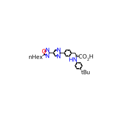 CCCCCCc1nc(-c2cnc(-c3ccc(C[C@H](Nc4ccc(C(C)(C)C)cc4)C(=O)O)cc3)nc2)no1